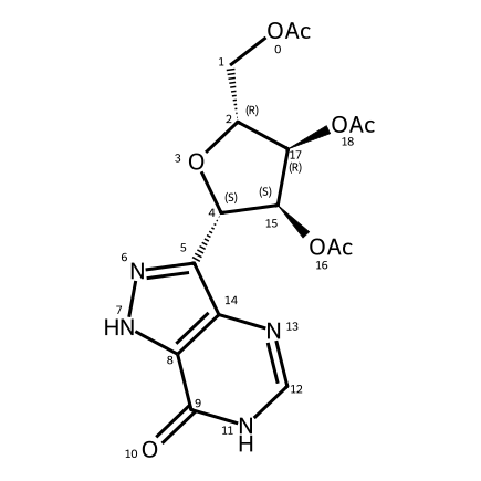 CC(=O)OC[C@H]1O[C@@H](c2n[nH]c3c(=O)[nH]cnc23)[C@H](OC(C)=O)[C@@H]1OC(C)=O